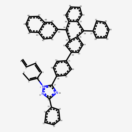 C=C/C=C\C(=C/C)n1nc(-c2ccccc2)nc1-c1ccc(-c2ccc3c(-c4ccccc4)c4ccccc4c(-c4ccc5ccccc5c4)c3c2)cc1